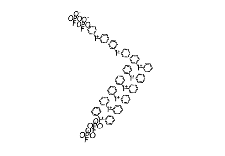 O=P([O-])([O-])F.O=P([O-])([O-])F.O=P([O-])([O-])F.O=P([O-])([O-])F.c1ccc([I+]c2ccccc2)cc1.c1ccc([I+]c2ccccc2)cc1.c1ccc([I+]c2ccccc2)cc1.c1ccc([I+]c2ccccc2)cc1.c1ccc([I+]c2ccccc2)cc1.c1ccc([I+]c2ccccc2)cc1.c1ccc([I+]c2ccccc2)cc1.c1ccc([I+]c2ccccc2)cc1